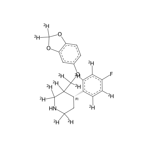 [2H]c1c([2H])c([C@@H]2CC([2H])([2H])NC([2H])([2H])C2([2H])C([2H])([2H])Oc2ccc3c(c2)OC([2H])([2H])O3)c([2H])c([2H])c1F